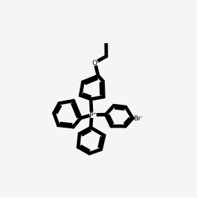 CCOc1ccc([P+](c2ccccc2)(c2ccccc2)c2ccccc2)cc1.[Br-]